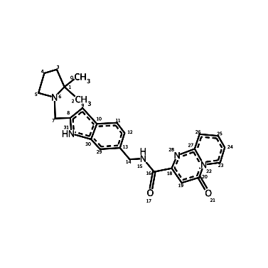 CC1(C)CCCN1Cc1cc2ccc(CNC(=O)c3cc(=O)n4ccccc4n3)cc2[nH]1